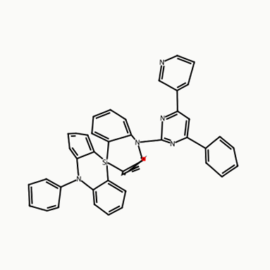 c1ccc(-c2cc(-c3cccnc3)nc(N3c4ccccc4[Si]4(c5ccccc5N(c5ccccc5)c5ccccc54)c4ccccc43)n2)cc1